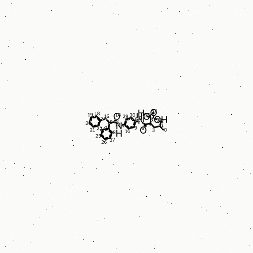 CC(C)CC(C(=O)Nc1ccc(NC(=O)C(Cc2ccccc2)c2ccccc2)cc1)P(=O)(O)O